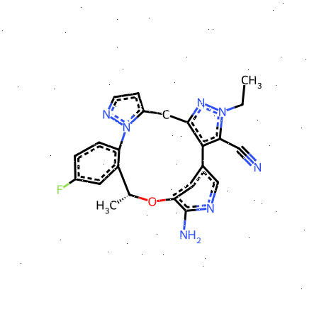 CCn1nc2c(c1C#N)-c1cnc(N)c(c1)O[C@H](C)c1cc(F)ccc1-n1nccc1C2